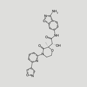 C[C@]1([C@@H](O)C(=O)Nc2ccc3c(N)noc3c2)OCCN(c2cccc(-c3cnoc3)n2)C1=O